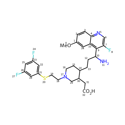 COc1ccc2ncc(F)c(C(N)CCC3CCN(CCSc4cc(F)cc(F)c4)CC3CC(=O)O)c2c1